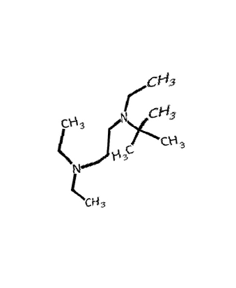 CCN(CC)CCN(CC)C(C)(C)C